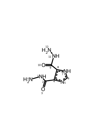 NNC(=O)c1nc[nH]c1C(=O)NN